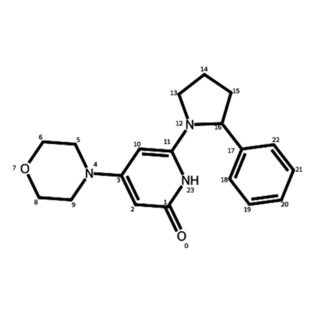 O=c1cc(N2CCOCC2)cc(N2CCCC2c2ccccc2)[nH]1